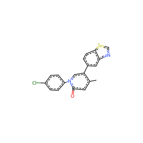 Cc1cc(=O)n(-c2ccc(Cl)cc2)cc1-c1ccc2scnc2c1